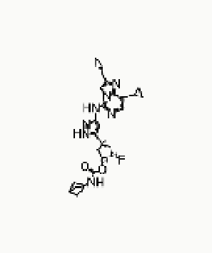 N#Cc1cn2c(Nc3cc([C@H]4C[C@@H](F)[C@@H](OC(=O)NC56CC(C5)C6)C4)[nH]n3)ncc(C3CC3)c2n1